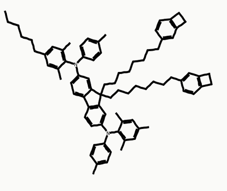 CCCCCCc1cc(C)c(N(c2ccc(C)cc2)c2ccc3c(c2)C(CCCCCCCCc2ccc4c(c2)CC4)(CCCCCCCCc2ccc4c(c2)CC4)c2cc(N(c4ccc(C)cc4)c4c(C)cc(C)cc4C)ccc2-3)c(C)c1